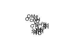 [2H]C([2H])([2H])N1CCN(C([2H])([2H])C(=O)N(c2ccc(N/C(=C3\C(=O)Nc4cc(C(=O)OC)ccc43)c3ccccc3)cc2)C([2H])([2H])[2H])CC1